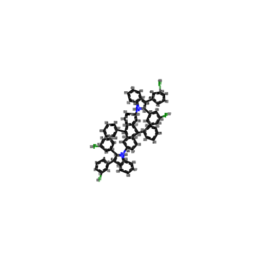 Fc1cccc(-c2c(-c3cccc(F)c3)n(-c3ccc4c(-c5ccccc5)c5cc(-n6c(-c7cccc(F)c7)c(-c7cccc(F)c7)c7ccccc76)ccc5c(-c5ccccc5)c4c3)c3ccccc23)c1